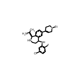 CCN1CC=C(c2ccc3c(c2)C(Nc2cc(Cl)ccc2F)CCN/C3=C(/C)N)CC1